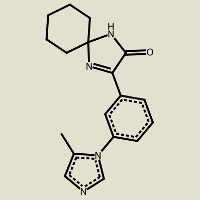 Cc1cncn1-c1cccc(C2=NC3(CCCCC3)NC2=O)c1